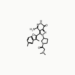 Cc1ccc2oc(-c3c4c(N)n[nH]c(=O)c4nn3C3CCN(C(=O)CN(C)C)C3)c(C)c2c1